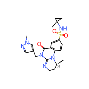 C[C@H]1CCN=C2N(Cc3cnn(C)c3)C(=O)c3cc(S(=O)(=O)NC4(C)CC4)ccc3N21